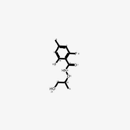 Cc1cc(F)c(C(=O)NOC(C)CO)c(F)c1